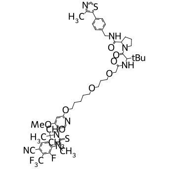 COc1cc(OCCCCCOCCCOCC(=O)NC(C(=O)N2CCCC2C(=O)NCc2ccc(-c3scnc3C)cc2)C(C)(C)C)ncc1N(C(=S)N(C)c1ccc(C#N)c(C(F)(F)F)c1F)C(C)(C)C=O